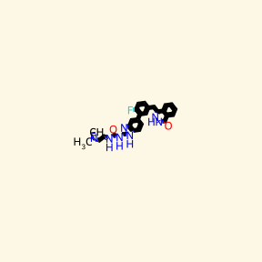 CN(C)CCNC(=O)Nc1nc2cc(-c3cc(Cc4n[nH]c(=O)c5ccccc45)ccc3F)ccc2[nH]1